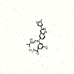 COc1cc(C(N)=O)cc(N(CCNC(C)C)c2ccc3nnc(-c4cnn(C)c4)cc3c2)c1